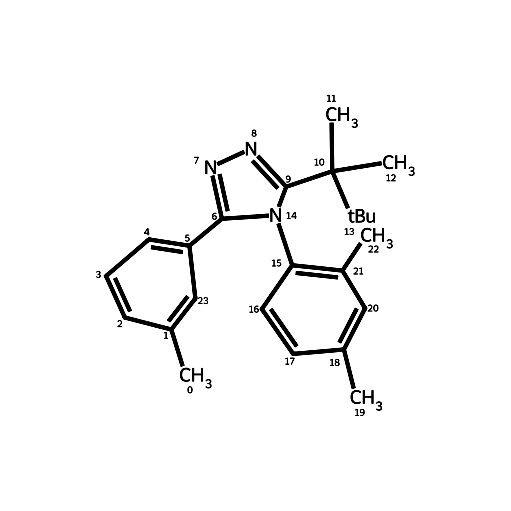 Cc1cccc(-c2nnc(C(C)(C)C(C)(C)C)n2-c2ccc(C)cc2C)c1